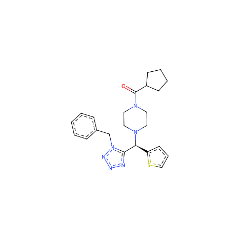 O=C(C1CCCC1)N1CCN([C@@H](c2cccs2)c2nnnn2Cc2ccccc2)CC1